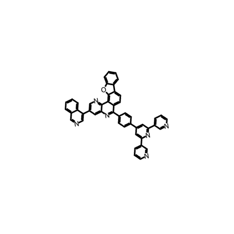 c1cncc(-c2cc(-c3ccc(-c4nc5cc(-c6cncc7ccccc67)cnc5c5c4ccc4c6ccccc6oc45)cc3)cc(-c3cccnc3)n2)c1